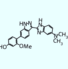 COc1cc(O)ccc1-c1ccc2c(-c3nc4cc(N(C)C)ccc4[nH]3)n[nH]c2c1